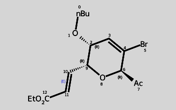 CCCCO[C@@H]1C=C(Br)[C@@H](C(C)=O)O[C@@H]1/C=C/C(=O)OCC